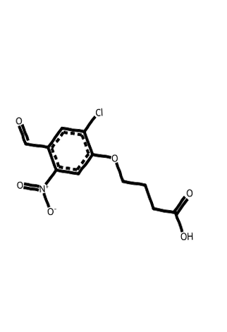 O=Cc1cc(Cl)c(OCCCC(=O)O)cc1[N+](=O)[O-]